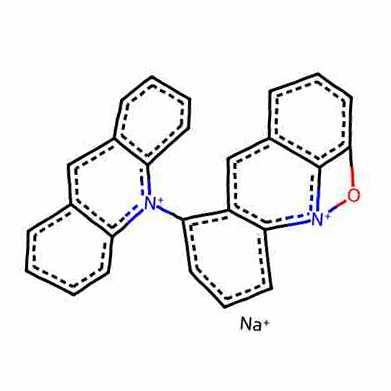 [Na+].c1cc2c3c(c1)cc1c(-[n+]4c5ccccc5cc5ccccc54)cccc1[n+]3O2